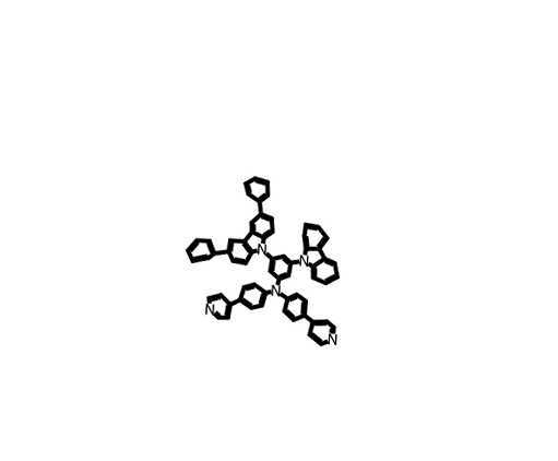 c1ccc(-c2ccc3c(c2)c2cc(-c4ccccc4)ccc2n3-c2cc(N(c3ccc(-c4ccncc4)cc3)c3ccc(-c4ccncc4)cc3)cc(-n3c4ccccc4c4ccccc43)c2)cc1